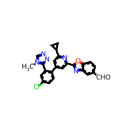 Cn1cnnc1-c1cc(Cl)ccc1-c1cc(-c2nc3cc(C=O)ccc3o2)nc(C2CC2)c1